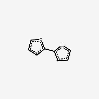 [c]1ccoc1-c1ccco1